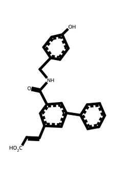 O=C(O)/C=C/c1cc(C(=O)NCc2ccc(O)cc2)cc(-c2ccccc2)c1